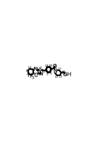 Cn1nc(-c2ccc(C(=O)N3CCCC(CO)C3)cc2)s/c1=N/C1CCCCC1